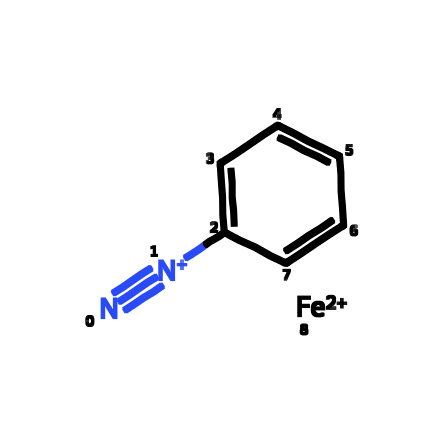 N#[N+]c1ccccc1.[Fe+2]